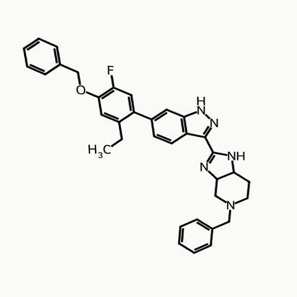 CCc1cc(OCc2ccccc2)c(F)cc1-c1ccc2c(C3=NC4CN(Cc5ccccc5)CCC4N3)n[nH]c2c1